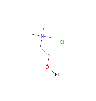 [CH2]COCC[N+](C)(C)C.[Cl-]